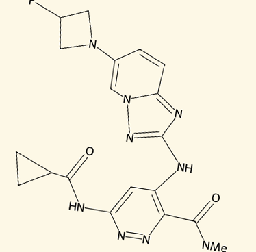 CNC(=O)c1nnc(NC(=O)C2CC2)cc1Nc1nc2ccc(N3CC(F)C3)cn2n1